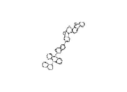 c1ccc2c(-c3c4ccccc4c(-c4ccc5cc(-c6ccc7c(c6)oc6ccc8c(ccc9c%10ccccc%10sc98)c67)ccc5c4)c4ccccc34)cccc2c1